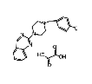 Clc1ccc(CN2CCN(c3ncc4ccccc4n3)CC2)cc1.O=C(O)C(=O)O